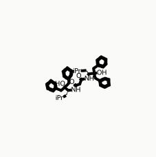 CC(C)C[C@@H](NC(=O)CC(=O)N[C@H](CC(C)C)C(O)(Cc1ccccc1)Cc1ccccc1)C(O)(Cc1ccccc1)Cc1ccccc1